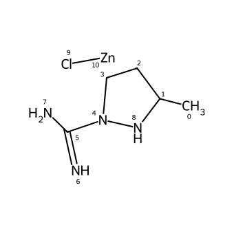 CC1CCN(C(=N)N)N1.[Cl][Zn]